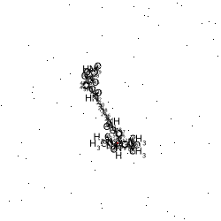 Cc1nc(S(=O)(=O)Nc2cc3c(cc2Oc2cccc(OCC(=O)NCCCCCCCCNC(=O)COc4cccc5c4C(=O)N(C4CCC(=O)NC4=O)C5=O)c2)n(C)c(=O)n3C)cn1C